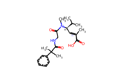 C/C(=C\[C@H](C(C)C)N(C)C(=O)CNC(=O)C(C)(C)c1ccccc1)C(=O)O